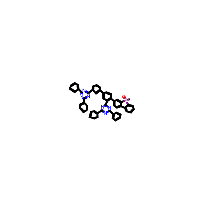 CP1(=O)c2ccccc2-c2ccc(-c3ccc(-c4cccc(-c5nc(-c6ccccc6)nc(-c6ccccc6)n5)c4)cc3-c3nc(-c4ccccc4)nc(-c4ccccc4)n3)cc21